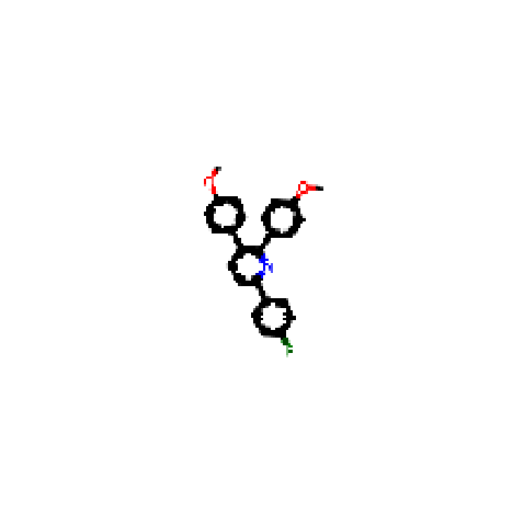 COc1ccc(-c2ccc(-c3ccc(F)cc3)nc2-c2ccc(OC)cc2)cc1